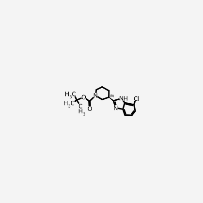 CC(C)(C)OC(=O)N1CCC[C@@H](c2nc3cccc(Cl)c3[nH]2)C1